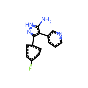 Nc1[nH]nc(-c2ccc(F)cc2)c1-c1cccnc1